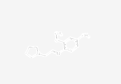 COc1cc(C)ccc1N=CCN1CCCC1